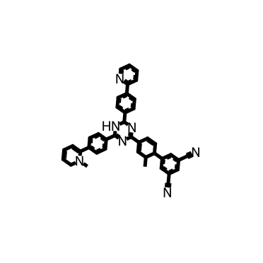 CC1C=C(C2=NC(c3ccc(-c4ccccn4)cc3)NC(c3ccc(C4=CC=CCN4C)cc3)=N2)C=CC1c1cc(C#N)cc(C#N)c1